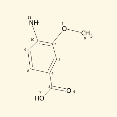 COc1cc(C(=O)O)ccc1[NH]